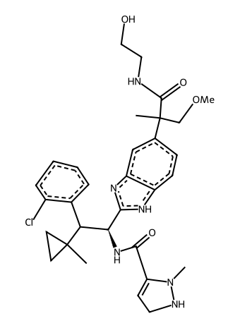 COCC(C)(C(=O)NCCO)c1ccc2[nH]c([C@@H](NC(=O)C3=CCNN3C)C(c3ccccc3Cl)C3(C)CC3)nc2c1